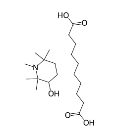 CN1C(C)(C)CCC(O)C1(C)C.O=C(O)CCCCCCCCC(=O)O